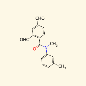 Cc1cccc(N(C)C(=O)c2ccc(C=O)cc2C=O)c1